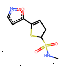 CNS(=O)(=O)C1CC=C(c2ccno2)S1